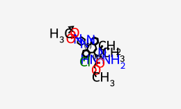 C=CN(C)/C(=C\N)[C@H](NC(=O)COCC)C1=Cc2cccnc2[C@@H](N2CCN(C(=O)OC3(C)CC3)CC2)c2ccc(Cl)cc21